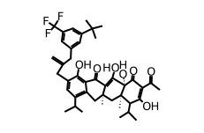 C=C(Cc1cc(C(C)(C)C)cc(C(F)(F)F)c1)Cc1cc(C(C)C)c2c(c1O)C(=O)C1=C(O)[C@@]3(O)C(=O)C(C(C)=O)=C(O)C(C(C)C)[C@@]3(C)C[C@@]1(C)C2